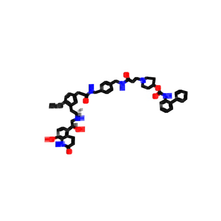 COc1ccc(CC(=O)NCc2ccc(CNC(=O)CCN3CCC(OC(=O)Nc4ccccc4-c4ccccc4)CC3)cc2)cc1C[C@H](C)NC[C@@H](O)c1ccc(O)c2[nH]c(=O)ccc12